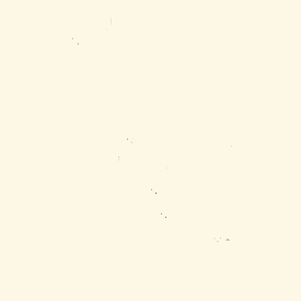 COc1nn(C(Cc2ccccc2)C(=O)Nc2ccc3c(c2)cc(C(=O)O)n3C(=O)O)c(=O)cc1-c1cc(Cl)ccc1C(C)=O